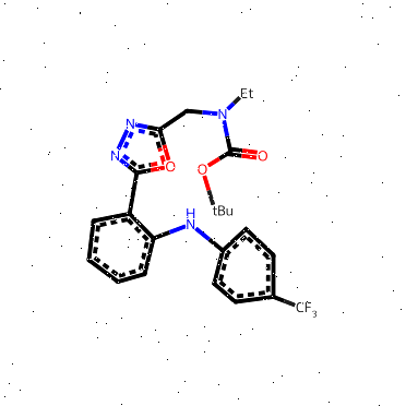 CCN(Cc1nnc(-c2ccccc2Nc2ccc(C(F)(F)F)cc2)o1)C(=O)OC(C)(C)C